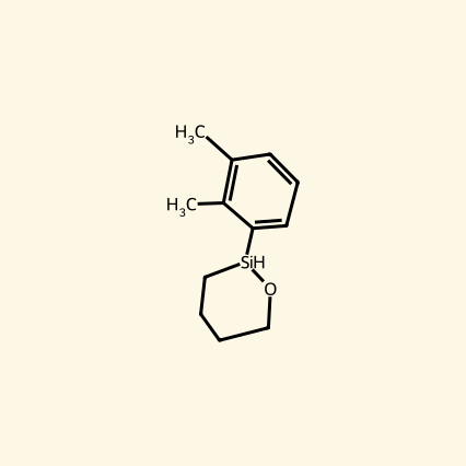 Cc1cccc([SiH]2CCCCO2)c1C